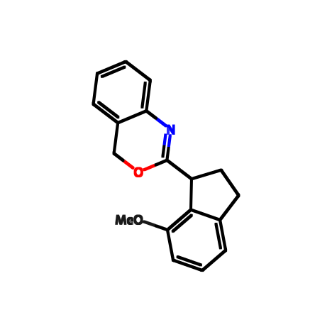 COc1cccc2c1C(C1=Nc3ccccc3CO1)CC2